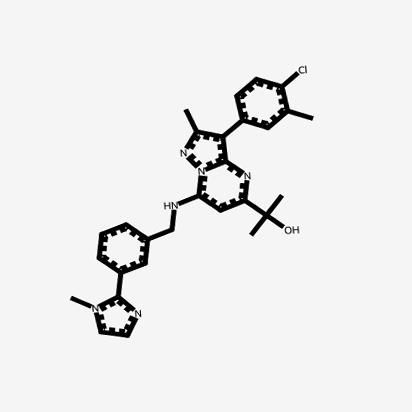 Cc1cc(-c2c(C)nn3c(NCc4cccc(-c5nccn5C)c4)cc(C(C)(C)O)nc23)ccc1Cl